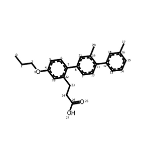 CCCOc1ccc(-c2ccc(-c3cccc(C)c3)c(C)c2)c(CCC(=O)O)c1